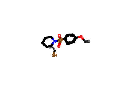 CCCCOc1ccc(S(=O)(=O)N2CCCC[C@H]2CS)cc1